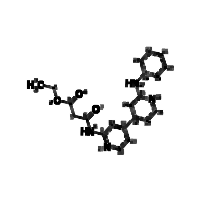 CCOC(=O)CC(=O)Nc1cc(-c2ccnc(Nc3ccccc3)c2)ccn1